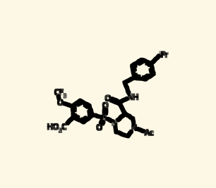 CC(=O)N1CCN(S(=O)(=O)c2ccc(OC(F)(F)F)c(C(=O)O)c2)C(C(=O)NCc2ccc(C(C)C)cc2)C1